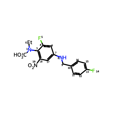 CCN(C(=O)O)c1c(F)cc(NCc2ccc(F)cc2)cc1[N+](=O)[O-]